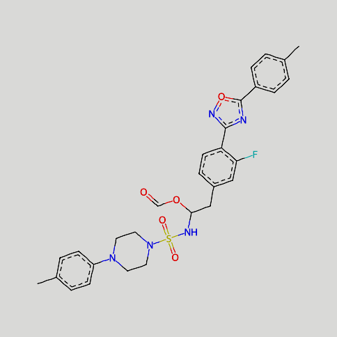 Cc1ccc(-c2nc(-c3ccc(CC(NS(=O)(=O)N4CCN(c5ccc(C)cc5)CC4)OC=O)cc3F)no2)cc1